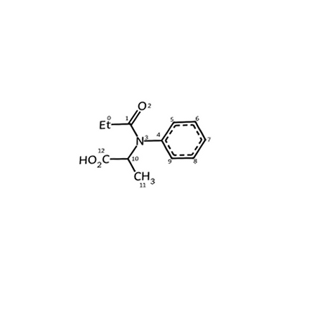 CCC(=O)N(c1ccccc1)C(C)C(=O)O